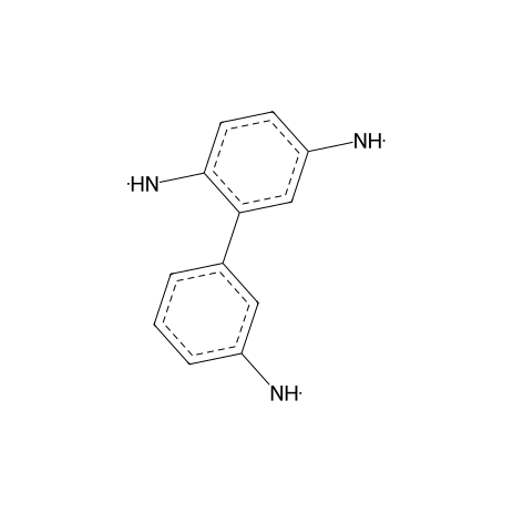 [NH]c1cccc(-c2cc([NH])ccc2[NH])c1